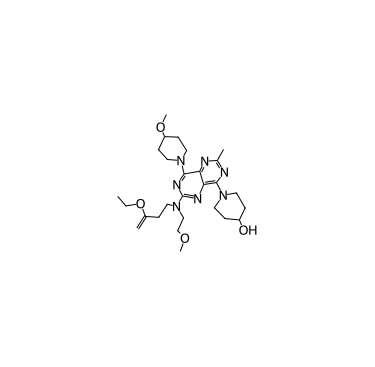 C=C(CCN(CCOC)c1nc(N2CCC(OC)CC2)c2nc(C)nc(N3CCC(O)CC3)c2n1)OCC